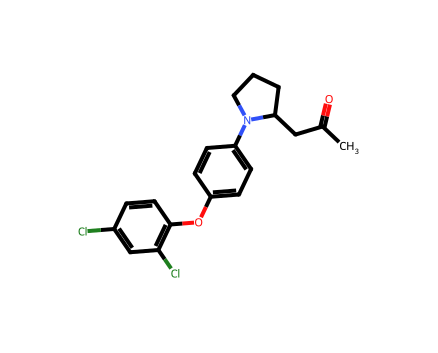 CC(=O)CC1CCCN1c1ccc(Oc2ccc(Cl)cc2Cl)cc1